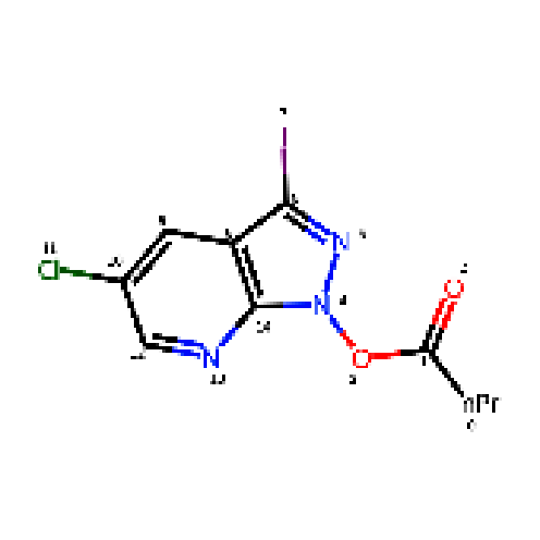 CCCC(=O)On1nc(I)c2cc(Cl)cnc21